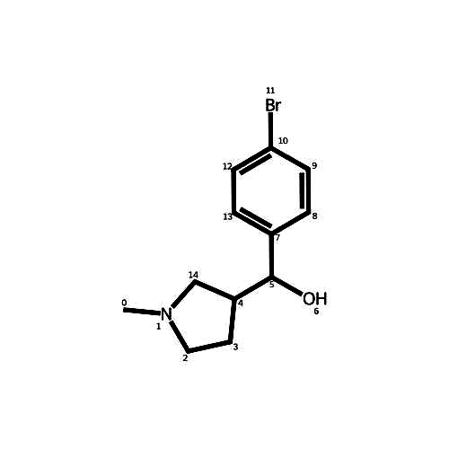 CN1CCC(C(O)c2ccc(Br)cc2)C1